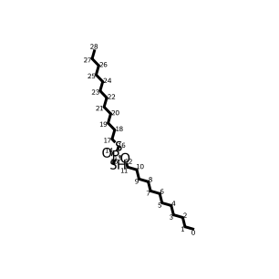 CCCCCCCCCCCCOP(=O)(S)SCCCCCCCCCCCC